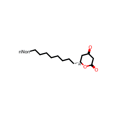 CCCCCCCCCCCCCCCCC[C@@H]1CC(=O)CC(=O)O1